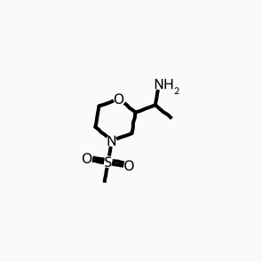 CC(N)C1CN(S(C)(=O)=O)CCO1